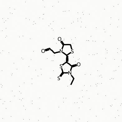 CCN1C(=O)/C(=C2\SCC(=O)N2CC=O)SC1=S